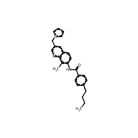 CCCCc1ccc(C(=O)Nc2ccc3cc(Cn4cccc4)cnc3c2C)cc1